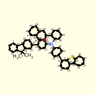 CC1(C)c2ccccc2-c2ccc(-c3ccc(N(c4ccc(-c5cccc6c5sc5ccccc56)cc4)c4ccccc4-c4ccc5ccccc5c4)cc3)cc21